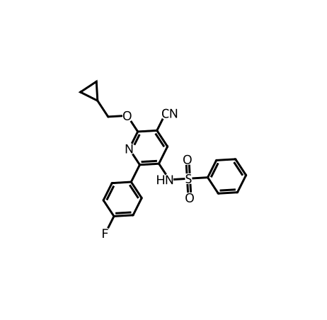 N#Cc1cc(NS(=O)(=O)c2ccccc2)c(-c2ccc(F)cc2)nc1OCC1CC1